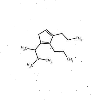 CCCC1=CCC(C(C)N(C)C)=C1CCC